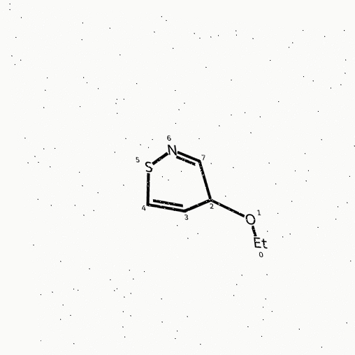 CCOC1C=CSN=C1